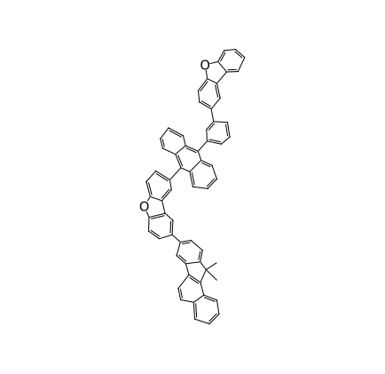 CC1(C)c2ccc(-c3ccc4oc5ccc(-c6c7ccccc7c(-c7cccc(-c8ccc9oc%10ccccc%10c9c8)c7)c7ccccc67)cc5c4c3)cc2-c2ccc3ccccc3c21